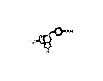 C=C(C)CC12CCN(Cc3ccc(OC)cc3)CC1CNC2